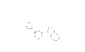 COCCCn1nc(-c2cc(-c3noc(C(F)(F)F)n3)ccn2)c2ncccc21